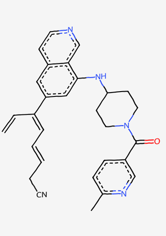 C=C/C(=C\C=C\CC#N)c1cc(NC2CCN(C(=O)c3ccc(C)nc3)CC2)c2cnccc2c1